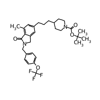 Cc1cc(CCCC2CCN(C(=O)OC(C)(C)C)CC2)cc2c1C(=O)N(Cc1ccc(OC(F)(F)F)cc1)C2